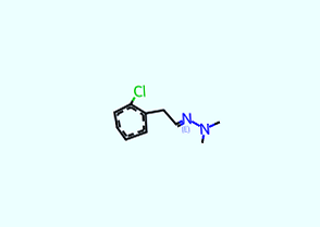 CN(C)/N=C/Cc1ccccc1Cl